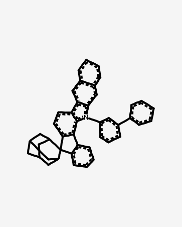 c1ccc(-c2cccc(-n3c4cc5ccccc5cc4c4ccc5c(c43)-c3ccccc3C53C4CC5CC(C4)CC3C5)c2)cc1